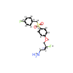 NC/C=C(/F)COc1ccc(S(=O)(=O)Cc2ccc(F)cc2)cc1